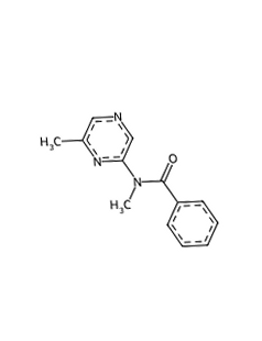 Cc1cncc(N(C)C(=O)c2ccccc2)n1